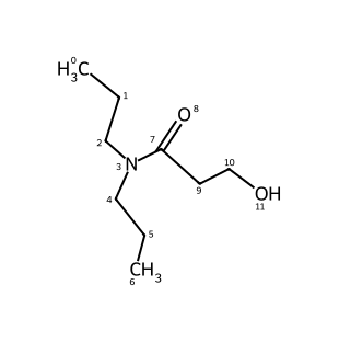 CCCN(CCC)C(=O)CCO